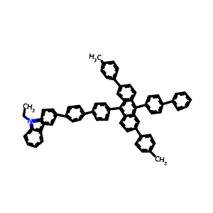 CCn1c2ccccc2c2cc(-c3ccc(-c4ccc(-c5c6ccc(-c7ccc(C)cc7)cc6c(-c6ccc(-c7ccccc7)cc6)c6ccc(-c7ccc(C)cc7)cc56)cc4)cc3)ccc21